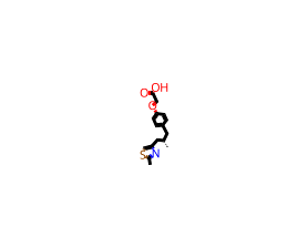 Cc1nc(C[C@@H](C)Cc2ccc(OCC(=O)O)cc2)cs1